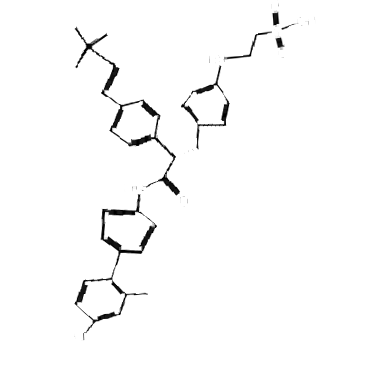 Cc1cc(Cl)ccc1-c1ccc(NC(=O)[C@@H](Cc2ccc(NCCS(=O)(=O)O)cc2)c2ccc(/C=C/C(C)(C)C)cc2)cc1